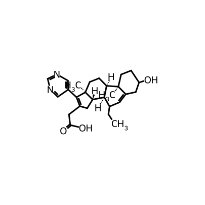 CCC1C=C2CC(O)CC[C@]2(C)[C@@H]2CC[C@]3(C)C(c4cncnc4)=C(CC(=O)O)C[C@H]3[C@H]12